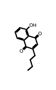 CCCCC1=CC(=O)c2c(O)cccc2C1=O